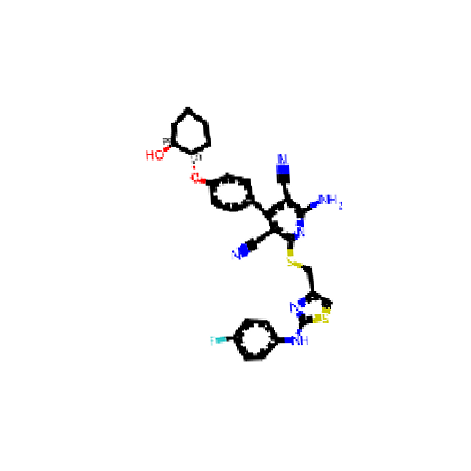 N#Cc1c(N)nc(SCc2csc(Nc3ccc(F)cc3)n2)c(C#N)c1-c1ccc(O[C@H]2CCCC[C@@H]2O)cc1